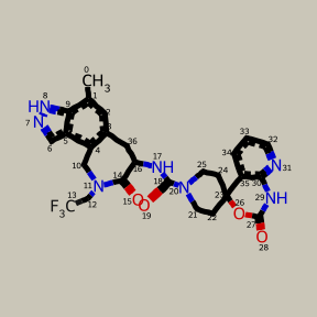 Cc1cc2c(c3cn[nH]c13)CN(CC(F)(F)F)C(=O)C(NC(=O)N1CCC3(CC1)OC(=O)Nc1ncccc13)C2